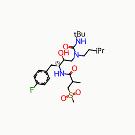 CC(C)CCN(CC(O)[C@H](Cc1ccc(F)cc1)NC(=O)C(C)CS(C)(=O)=O)C(=O)NC(C)(C)C